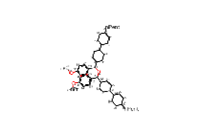 CCCCCC1CCC(C2CCC(C(OC(c3ccc(OCCC)cc3)C3CCC(C4CCC(CCCCC)CC4)CC3)c3ccc(OCCC)cc3)CC2)CC1